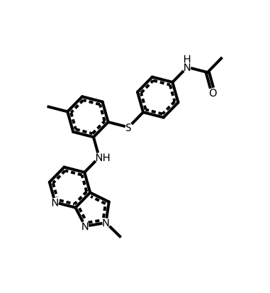 CC(=O)Nc1ccc(Sc2ccc(C)cc2Nc2ccnc3nn(C)cc23)cc1